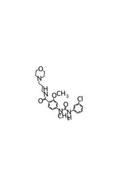 COc1cc(N(C)C(=O)Nc2cccc(Cl)c2)ccc1C(=O)NCCCN1CCOCC1